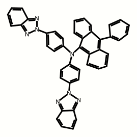 c1ccc(-c2c3ccccc3c(N(c3ccc(-n4nc5ccccc5n4)cc3)c3ccc(-n4nc5ccccc5n4)cc3)c3ccccc23)cc1